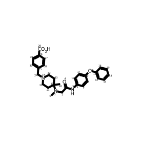 CN(CC(=O)Nc1ccc(Oc2ccccc2)cc1)C1(C)CCN(Cc2ccc(C(=O)O)cc2)CC1